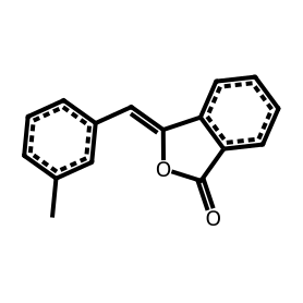 Cc1cccc(C=C2OC(=O)c3ccccc32)c1